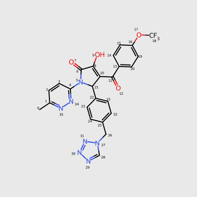 Cc1ccc(N2C(=O)C(O)=C(C(=O)c3ccc(OC(F)(F)F)cc3)C2c2ccc(Cn3cnnn3)cc2)nn1